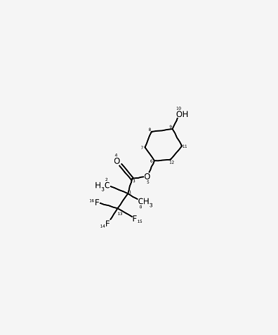 CC(C)(C(=O)OC1CCC(O)CC1)C(F)(F)F